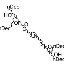 CCCCCCCCCCCCC(O)CN(CCCCC(=O)OCCN1CCN(CCSSCCCCN(CC(O)CCCCCCCCCC)CC(O)CCCCCCCCCC)CC1)CC(O)CCCCCCCCCCCC